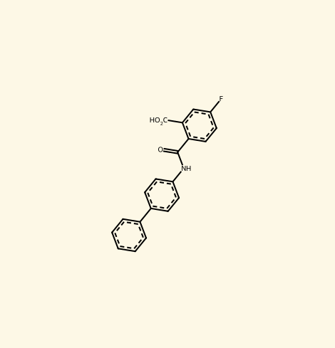 O=C(O)c1cc(F)ccc1C(=O)Nc1ccc(-c2ccccc2)cc1